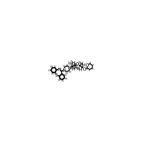 [2H]C([2H])(OC1CCCCO1)C([2H])([2H])OC([2H])([2H])C([2H])([2H])N1CCN(C2=Nc3ccccc3Sc3ccccc32)CC1